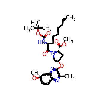 C=CCCCCC[C@H](NC(=O)OC(C)(C)C)C(=O)N1C[C@H](Oc2nc3cc(OC)ccc3nc2C)C[C@H]1C(=O)OC